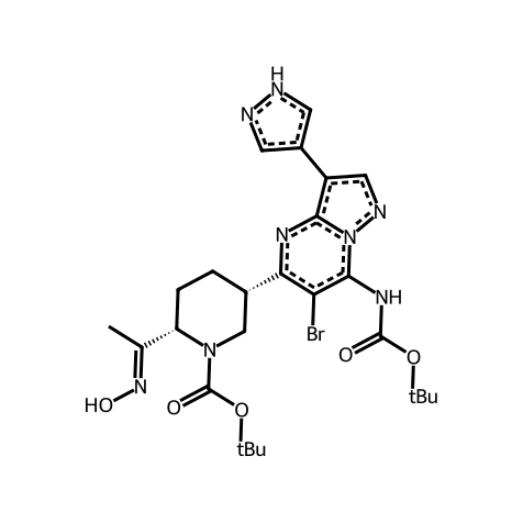 C/C(=N\O)[C@@H]1CC[C@H](c2nc3c(-c4cn[nH]c4)cnn3c(NC(=O)OC(C)(C)C)c2Br)CN1C(=O)OC(C)(C)C